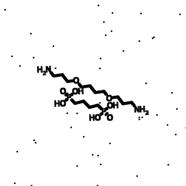 NCCCOCCCCOCCCN.O=P(O)(O)CCCCP(=O)(O)O